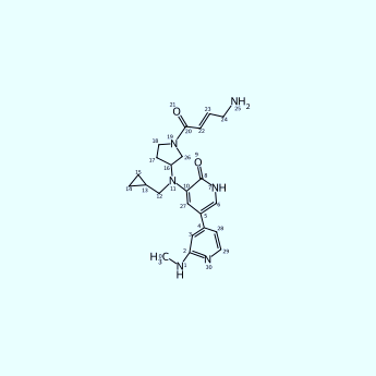 CNc1cc(-c2c[nH]c(=O)c(N(CC3CC3)C3CCN(C(=O)/C=C/CN)C3)c2)ccn1